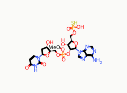 COOP(=O)(OC[C@H]1O[C@@H](n2ccc(=O)[nH]c2=O)C[C@@H]1O)O[C@@H]1[C@H](O)[C@@H](COP(=O)(O)S)O[C@H]1n1cnc2c(N)ncnc21